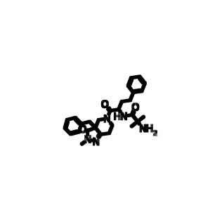 CN1N=C2CCN(C(=O)C(CCc3ccccc3)NC(=O)C(C)(C)N)CC2(Cc2ccccc2)C1=O